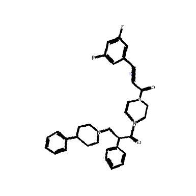 O=C(/C=C/c1cc(F)cc(F)c1)N1CCN(C(=O)C(CN2CCC(c3ccccc3)CC2)c2ccccc2)CC1